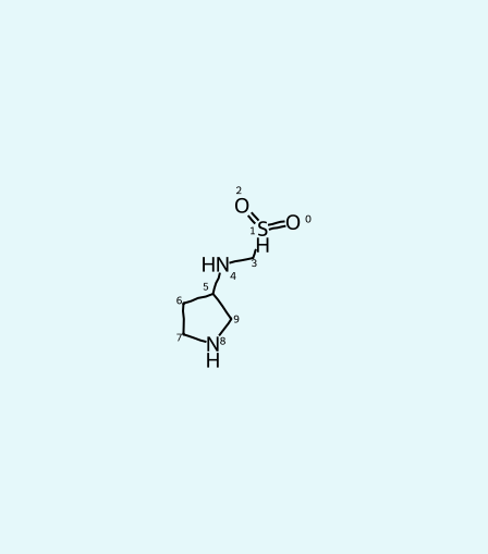 O=[SH](=O)CNC1CCNC1